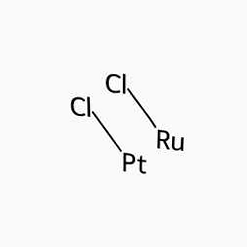 [Cl][Pt].[Cl][Ru]